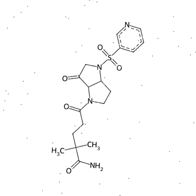 CC(C)(C[CH]C(=O)N1CCC2C1C(=O)CN2S(=O)(=O)c1cccnc1)C(N)=O